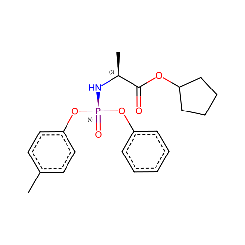 Cc1ccc(O[P@](=O)(N[C@@H](C)C(=O)OC2CCCC2)Oc2ccccc2)cc1